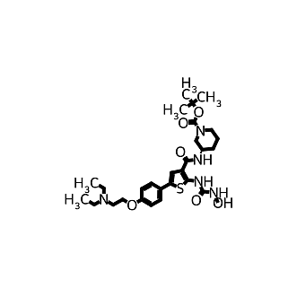 CCN(CC)CCOc1ccc(-c2cc(C(=O)N[C@H]3CCCN(C(=O)OC(C)(C)C)C3)c(NC(=O)NO)s2)cc1